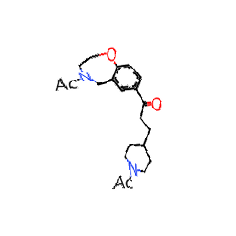 CC(=O)N1CCC(CCC(=O)c2ccc3c(c2)CN(C(C)=O)CCO3)CC1